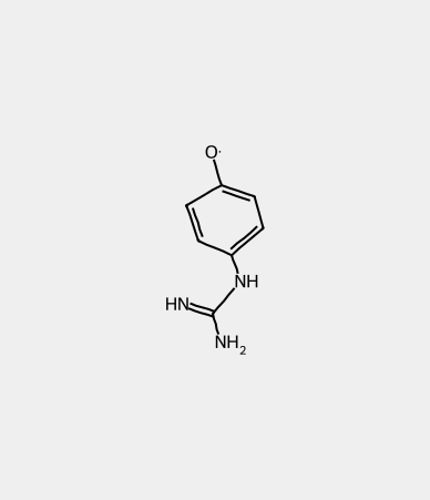 N=C(N)Nc1ccc([O])cc1